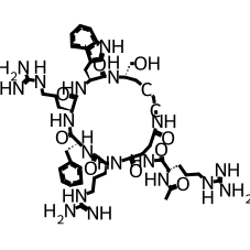 CC(=O)N[C@@H](CCCNC(=N)N)C(=O)N[C@H]1CC(=O)NCCCC[C@@H](CO)NC(=O)[C@H](Cc2c[nH]c3ccccc23)NC(=O)[C@H](CCCNC(=N)N)NC(=O)[C@@H](Cc2ccccc2)NC(=O)[C@H](CCCNC(=N)N)NC1=O